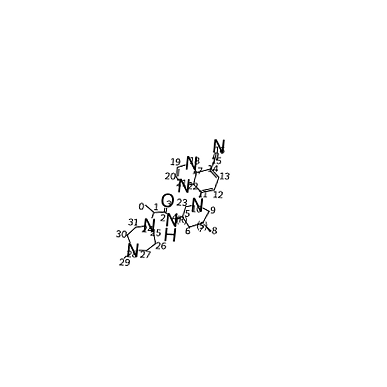 CC(C(=O)N[C@@H]1C[C@H](C)CN(c2ccc(C#N)c3nccnc23)C1)N1CCCN(C)CC1